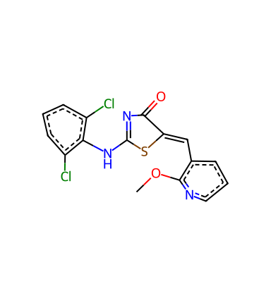 COc1ncccc1C=C1SC(Nc2c(Cl)cccc2Cl)=NC1=O